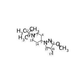 COc1nn(C2CCN(C(C)(C)C)CC2)cc1I